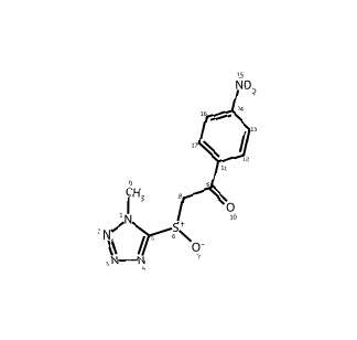 Cn1nnnc1[S+]([O-])CC(=O)c1ccc([N+](=O)[O-])cc1